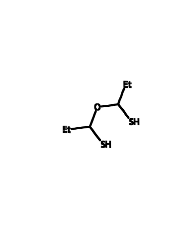 CCC(S)OC(S)CC